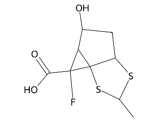 CC1SC2CC(O)C3C(F)(C(=O)O)C23S1